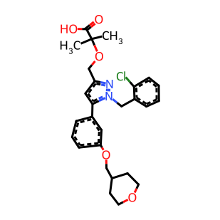 CC(C)(OCc1cc(-c2cccc(OCC3CCOCC3)c2)n(Cc2ccccc2Cl)n1)C(=O)O